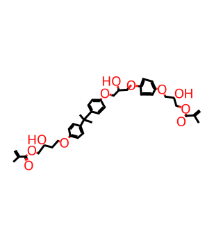 C=C(C)C(=O)OCC(O)CCOc1ccc(C(C)(C)c2ccc(OCC(O)COc3ccc(OCC(O)COC(=O)C(=C)C)cc3)cc2)cc1